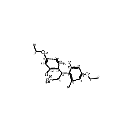 CCOc1cc(C)c(C(CBr)c2c(C)cc(OCC)cc2C)c(C)c1